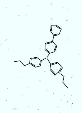 CCCc1ccc(N(c2ccc(CCC)cc2)c2ccc(-c3ccccc3)cc2)cc1